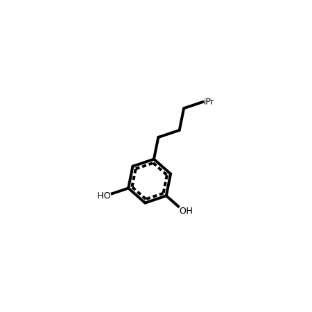 CC(C)CCCc1cc(O)cc(O)c1